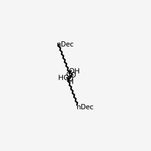 CCCCCCCCCCCCCCCCCCCCCCCC(O)O[PH](=O)OC(O)CCCCCCCCCCCCCCCCCCCCCCC